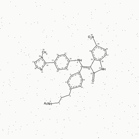 CC(=O)NCCCc1ccc(C(Nc2ccc(-c3nccn3C)cc2)=C2C(=O)Nc3ccc([N+](=O)[O-])cc32)cc1